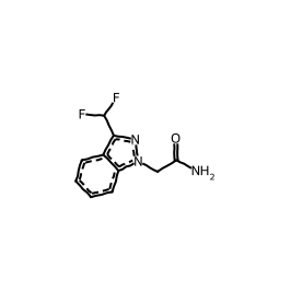 NC(=O)Cn1nc(C(F)F)c2ccccc21